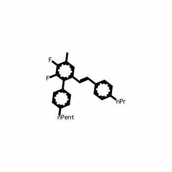 CCCCCc1ccc(-c2c(C=Cc3ccc(CCC)cc3)cc(C)c(F)c2F)cc1